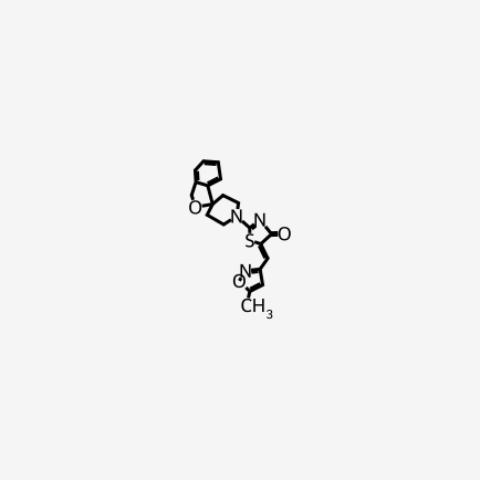 Cc1cc(/C=C2\SC(N3CCC4(CC3)OCc3ccccc34)=NC2=O)no1